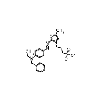 CCN(Cc1ccccc1)c1ccc(/N=N/c2sc(C)c[n+]2CCCS(=O)(=O)[O-])cc1